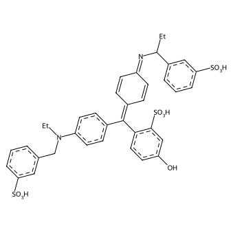 CCC(N=C1C=CC(=C(c2ccc(N(CC)Cc3cccc(S(=O)(=O)O)c3)cc2)c2ccc(O)cc2S(=O)(=O)O)C=C1)c1cccc(S(=O)(=O)O)c1